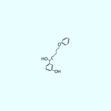 Oc1cccc(C(O)CCCCCOc2ccccc2)c1